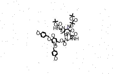 COc1ccc(COc2cn(OCc3ccc(OC)cc3)c(COC(=O)NC[C@H]3NC(=O)[C@H]3NC(=O)/C(=N\OC(C)(C)C(=O)OC(C)(C)C)c3csc(NC(=O)OC(C)(C)C)n3)cc2=O)cc1